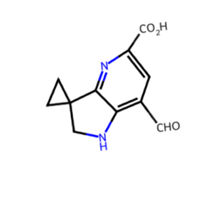 O=Cc1cc(C(=O)O)nc2c1NCC21CC1